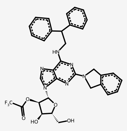 O=C(O[C@@H]1[C@H](O)[C@@H](CO)O[C@H]1n1cnc2c(NCC(c3ccccc3)c3ccccc3)nc(N3Cc4ccccc4C3)nc21)C(F)(F)F